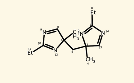 CCC1=NC(C)(CC2(C)C=NC(CC)=N2)C=N1